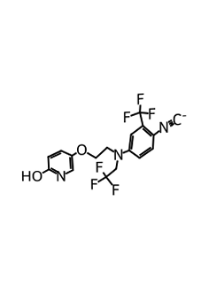 [C-]#[N+]c1ccc(N(CCOc2ccc(O)nc2)CC(F)(F)F)cc1C(F)(F)F